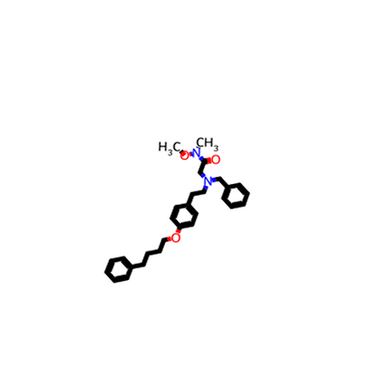 CON(C)C(=O)CN(CCc1ccc(OCCCCc2ccccc2)cc1)Cc1ccccc1